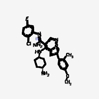 COc1ccc(-c2cc3c(N[C@H]4CC[C@H](N)CC4)c(/C(N)=N/c4cc(F)ccc4Cl)cnn3c2)c(C)c1